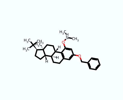 C[SiH](C)Oc1cc(OCc2ccccc2)cc2c1[C@H]1CC[C@@]3(C)[C@@H](CC[C@H]3C(C)(C)C)[C@@H]1CC2